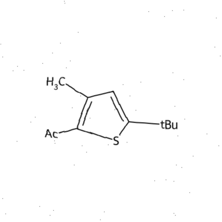 CC(=O)c1sc(C(C)(C)C)cc1C